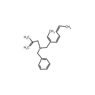 C=C(C)CN(CC(/C=C\C=C/C)=C/C)Cc1ccccc1